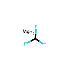 FC(F)F.[MgH2]